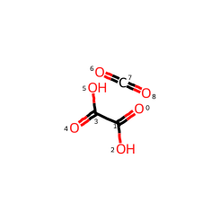 O=C(O)C(=O)O.O=C=O